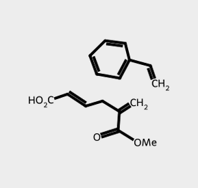 C=C(CC=CC(=O)O)C(=O)OC.C=Cc1ccccc1